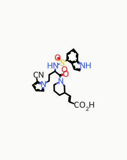 N#Cc1cccn1CCC(NS(=O)(=O)c1cccc2[nH]ccc12)C(=O)N1CCCC(/C=C/C(=O)O)C1